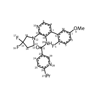 COc1ccc(F)c(-c2ccnc(N3CCC(F)(F)C3)c2NC(=O)c2ccc(C(C)C)nc2)c1